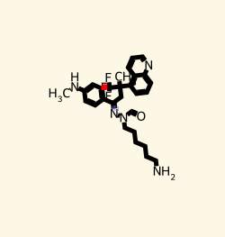 CNc1ccc(/C(CC(C)(c2cccc3ncccc23)C(F)(F)F)=N/N(C=O)CCCCCCN)cc1